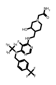 [2H]C([2H])([2H])N(Cc1ccc(C(F)(F)F)cc1)c1ncnc(NCC2CCN(CC(N)=O)CC2O)c1F